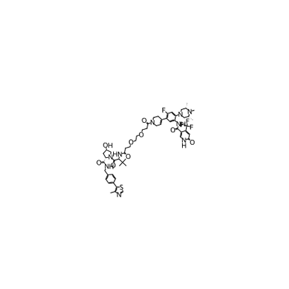 Cc1ncsc1-c1ccc(CNC(=O)[C@@H]2C[C@@H](O)CN2C(=O)[C@@H](NC(=O)CCOCCOCCC(=O)N2CC=C(c3cc(NC(=O)c4c[nH]c(=O)cc4C(F)(F)F)c(N4C[C@@H](C)N(C)[C@@H](C)C4)cc3F)CC2)C(C)(C)C)cc1